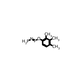 Cc1ccc(OP=NP)c(C)c1C